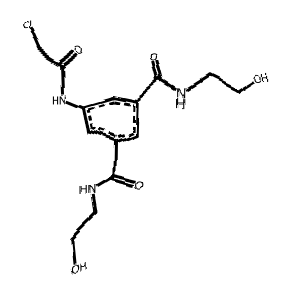 O=C(CCl)Nc1cc(C(=O)NCCO)cc(C(=O)NCCO)c1